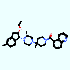 CCO[C@@H]1Cc2cc(C)ccc2[C@H]1N1CCN(C2(C)CCN(C(=O)c3cccc4ncccc34)CC2)C[C@@H]1C